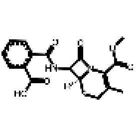 COC(=O)C1=C(C)CS[C@H]2C(NC(=O)c3ccccc3C(=O)O)C(=O)N12